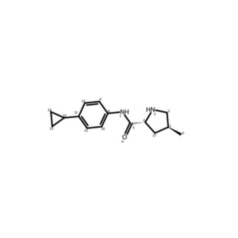 C[C@@H]1CN[C@@H](C(=O)Nc2ccc(C3CC3)cc2)C1